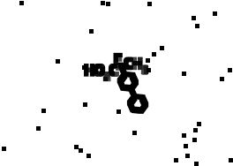 C[C@@](F)(C(=O)O)c1ccc(-c2ccccc2)cc1